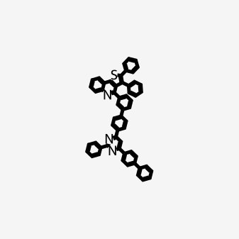 c1ccc(-c2ccc(-c3cc(-c4ccc(-c5cccc(-c6nc7ccccc7c7sc(-c8ccccc8)c(-c8ccccc8)c67)c5)cc4)nc(-c4ccccc4)n3)cc2)cc1